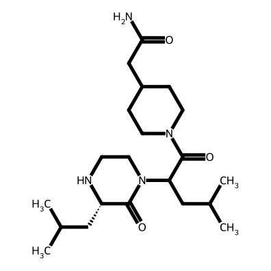 CC(C)CC(C(=O)N1CCC(CC(N)=O)CC1)N1CCN[C@@H](CC(C)C)C1=O